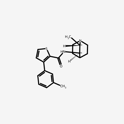 Cc1cccc(-c2ccsc2C(=O)N[C@@H]2C3CCN(CC3)[C@H]2C)c1